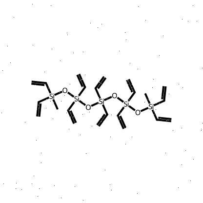 C=C[Si](C)(C=C)O[Si](C=C)(C=C)O[Si](C=C)(C=C)O[Si](C=C)(C=C)O[Si](C)(C=C)C=C